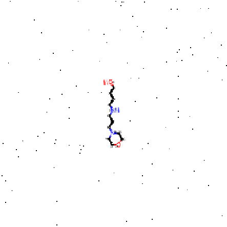 OCCCCNCCCN1CCOCC1